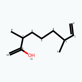 C=CC(C)CCCC(C)C(=C)O